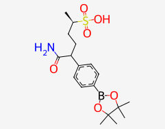 C[C@H](CCC(C(N)=O)c1ccc(B2OC(C)(C)C(C)(C)O2)cc1)S(=O)(=O)O